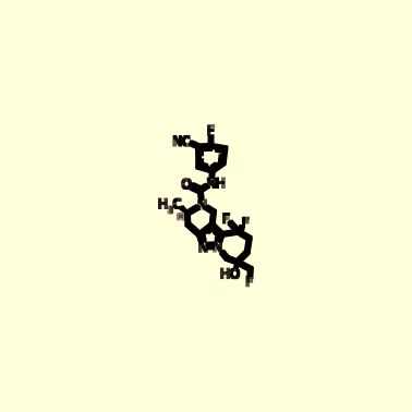 C[C@@H]1Cc2nn3c(c2CN1C(=O)Nc1ccc(F)c(C#N)c1)C(F)(F)CC[C@](O)(CF)C3